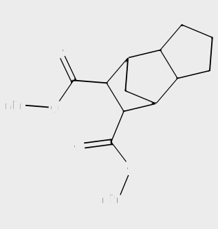 CCCOC(=O)C1C2CC(C3CCCC32)C1C(=O)OCCC